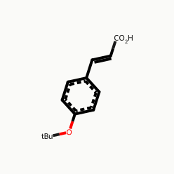 CC(C)(C)Oc1ccc(C=CC(=O)O)cc1